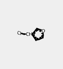 CCl.c1ccoc1